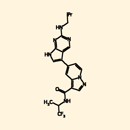 CC(C)CNc1ncc2c(-c3ccn4ncc(C(=O)NC(C)C(F)(F)F)c4c3)c[nH]c2n1